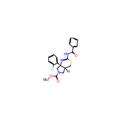 CC(C)(C)OC(=O)N1C[C@H]2CSC(NC(=O)c3ccccc3)=N[C@@]2(c2ccccc2F)C1